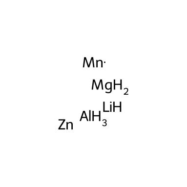 [AlH3].[LiH].[MgH2].[Mn].[Zn]